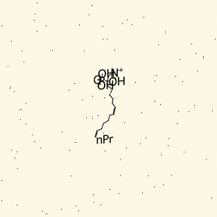 CCC/C=C\CCCC/C=C\CCCCCC(O)(C[N+](C)(C)C)P(=O)(O)O